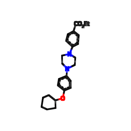 CCOC(=O)c1ccc(N2CCN(c3ccc(OC4CCCCC4)cc3)CC2)cc1